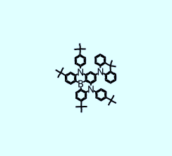 CC(C)(C)c1ccc(N2c3cc(C(C)(C)C)ccc3B3c4ccc(C(C)(C)C)cc4N(c4ccc(C(C)(C)C)cc4)c4cc(N5c6ccccc6C(C)(C)c6ccccc65)cc2c43)cc1